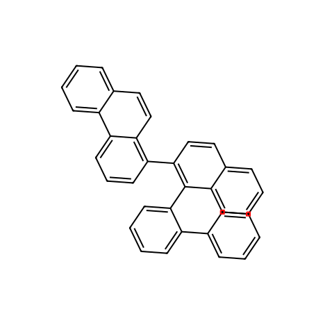 c1ccc(-c2ccccc2-c2c(-c3cccc4c3ccc3ccccc34)ccc3ccccc23)cc1